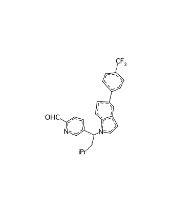 CC(C)CC(c1ccc(C=O)nc1)n1ccc2cc(-c3ccc(C(F)(F)F)cc3)ccc21